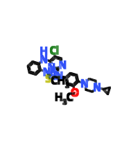 COc1cc(Nc2ncc(Cl)c(Nc3ccccc3NSC)n2)ccc1N1CCN(C2CC2)CC1